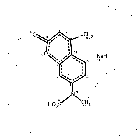 Cc1cc(=O)oc2cc(N(C)S(=O)(=O)O)ccc12.[NaH]